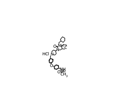 CS(=O)(=O)Nc1ccc(Oc2ccc(CN3CCC(N(CC4CCCCC4)C(=O)NCC4CCCCC4)CC3)cc2)cc1.Cl